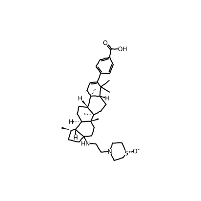 C[C@@H]1CCC2(NCCN3CC[S+]([O-])CC3)CC[C@]3(C)[C@H](CC[C@@H]4[C@@]5(C)CC=C(c6ccc(C(=O)O)cc6)C(C)(C)[C@@H]5CC[C@]43C)[C@@H]12